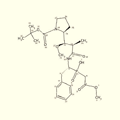 COC(=O)CP(=O)(O)[C@H](Cc1ccccc1)NC(=O)[C@H](C)[C@@H](OC)[C@@H]1CCCN1C(=O)OC(C)(C)C